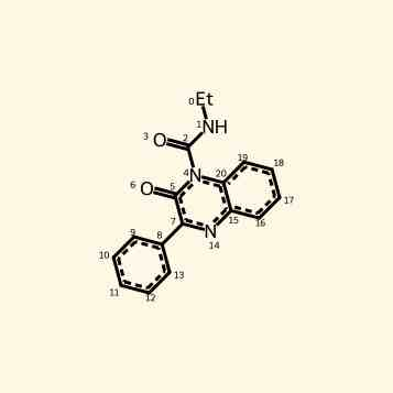 CCNC(=O)n1c(=O)c(-c2ccccc2)nc2ccccc21